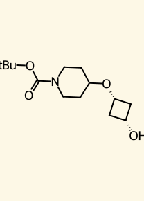 CC(C)(C)OC(=O)N1CCC(O[C@H]2C[C@@H](O)C2)CC1